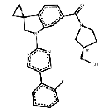 O=C(c1ccc2c(c1)N(c1ncc(-c3ccccc3F)cn1)CC21CC1)N1CC[C@@H](CO)C1